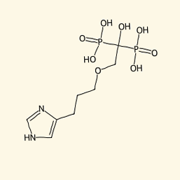 O=P(O)(O)C(O)(COCCCc1c[nH]cn1)P(=O)(O)O